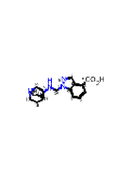 O=C(O)c1cccc2c1cnn2CNC1CN2CCC1CC2